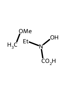 CCN(O)C(=O)O.COC